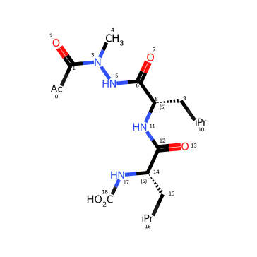 CC(=O)C(=O)N(C)NC(=O)[C@H](CC(C)C)NC(=O)[C@H](CC(C)C)NC(=O)O